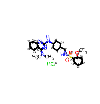 CN(C)c1nc(NC2CCC(CNS(=O)(=O)c3ccccc3OC(F)(F)F)CC2)nc2ccccc12.Cl